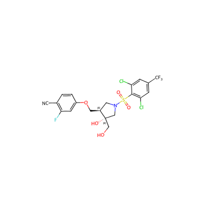 N#Cc1ccc(OC[C@H]2CN(S(=O)(=O)c3c(Cl)cc(C(F)(F)F)cc3Cl)C[C@@]2(O)CO)cc1F